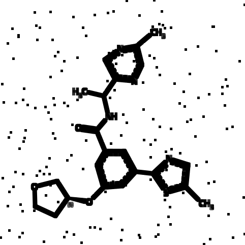 Cc1cnc(C(C)NC(=O)c2cc(O[C@H]3CCOC3)cc(-c3ncc(C)s3)c2)cn1